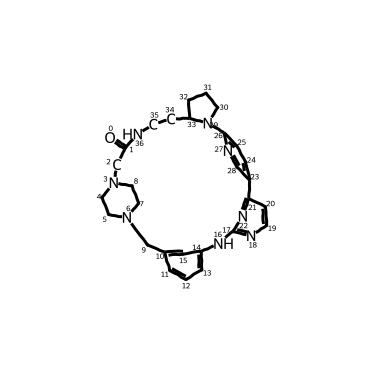 O=C1CN2CCN(CC2)Cc2cccc(c2)Nc2nccc(n2)-c2ccc(nc2)N2CCCC2CCN1